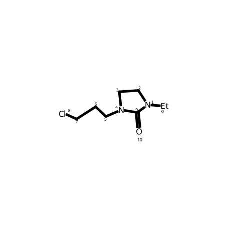 CCN1CCN(CCCCl)C1=O